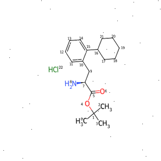 CC(C)(C)OC(=O)[C@@H](N)Cc1ccccc1C1CCCCC1.Cl